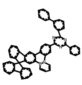 C1=CB2c3cc4c(cc3-c3ccc(-c5nc(-c6ccccc6)nc(-c6cccc(-c7ccccc7)c6)n5)cc3N2C=C1)-c1ccccc1C41c2ccccc2-c2ccccc21